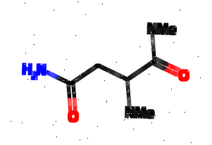 CNC(=O)C(CC(N)=O)NC